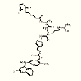 C=C(c1ccc(OC)c(NC(=O)OCc2ccc(NC(=O)[C@H](CCCNC(N)O)NC(=O)[C@@H](NC(=O)CCCCCN3C(=O)C=CC3=O)C(C)C)cc2)c1)c1cc(C)nc2ccccc12